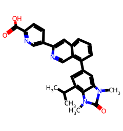 CC(C)c1cc(-c2cccc3cc(-c4ccc(C(=O)O)nc4)ncc23)cc2c1n(C)c(=O)n2C